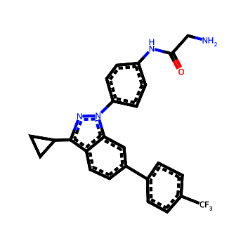 NCC(=O)Nc1ccc(-n2nc(C3CC3)c3ccc(-c4ccc(C(F)(F)F)cc4)cc32)cc1